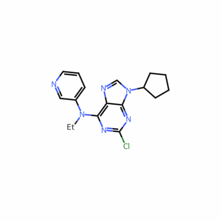 CCN(c1cccnc1)c1nc(Cl)nc2c1ncn2C1CCCC1